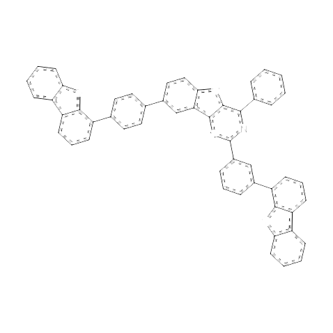 c1ccc(-c2nc(-c3cccc(-c4cccc5c4sc4ccccc45)c3)nc3c2oc2ccc(-c4ccc(-c5cccc6c5sc5ccccc56)cc4)cc23)cc1